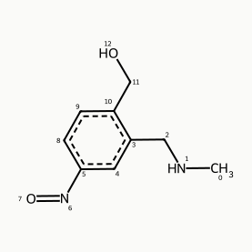 CNCc1cc(N=O)ccc1CO